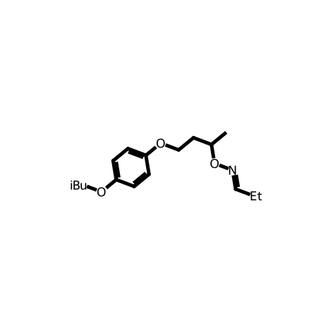 CCC=NOC(C)CCOc1ccc(OC(C)CC)cc1